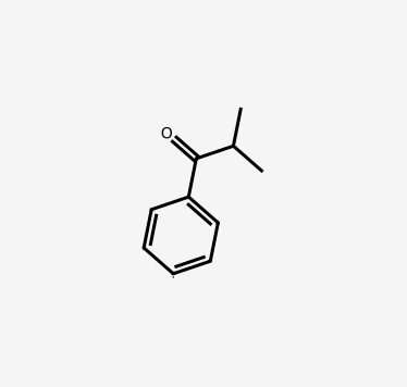 CC(C)C(=O)c1cc[c]cc1